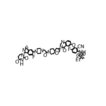 CCN(C)S(=O)(=O)Nc1ccc(F)c(Oc2ccc3ncn([C@H]4COC5(CCN(C(=O)CN6CCN(c7cc8c(cc7F)c(N7CCC(=O)NC7=O)nn8C)CC6)CC5)C4)c(=O)c3c2)c1C#N